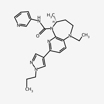 CCCn1cc(-c2ccc3c(n2)N(C(=O)Nc2cccnc2)[C@H](C)CCN3CC)cn1